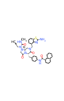 C#CCN(C(=O)NC)N1CC(=O)N2[C@@H](Cc3ccc(NC(=O)c4cccc5ccccc45)cc3)C(=O)N(Cc3cccc4sc(N)nc34)C[C@@H]21